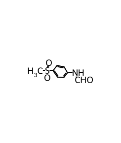 CS(=O)(=O)c1ccc(NC=O)cc1